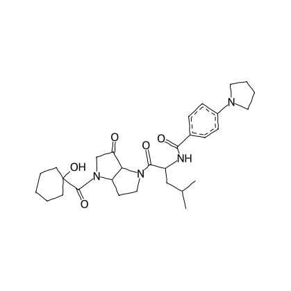 CC(C)CC(NC(=O)c1ccc(N2CCCC2)cc1)C(=O)N1CCC2C1C(=O)CN2C(=O)C1(O)CCCCC1